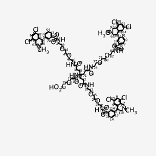 CN1Cc2c(Cl)cc(Cl)cc2C(c2cccc(S(=O)(=O)NCCOCCOCCNC(=O)CCC(CCC(=O)NCCOCCOCCNS(=O)(=O)c3cccc([C@@H]4CN(C)Cc5c(Cl)cc(Cl)cc54)c3)(CCC(=O)NCCOCCOCCNS(=O)(=O)c3cccc([C@@H]4CN(C)Cc5c(Cl)cc(Cl)cc54)c3)NC(=O)COCC(=O)O)c2)C1